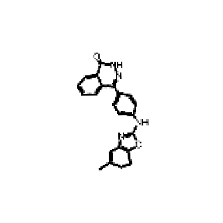 CC1=Cc2nc(Nc3ccc(-c4n[nH]c(=O)c5ccccc45)cc3)oc2CC1